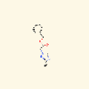 CCCc1ncn(CC(=O)OCc2ccccc2)n1